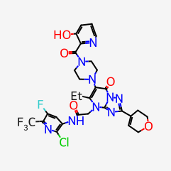 CCc1c(N2CCN(C(=O)c3ncccc3O)CC2)c(=O)n2nc(C3=CCOCC3)nc2n1CC(=O)Nc1cc(F)c(C(F)(F)F)nc1Cl